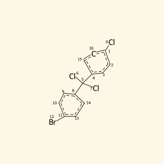 Clc1ccc(C(Cl)(Cl)c2ccc(Br)cc2)cc1